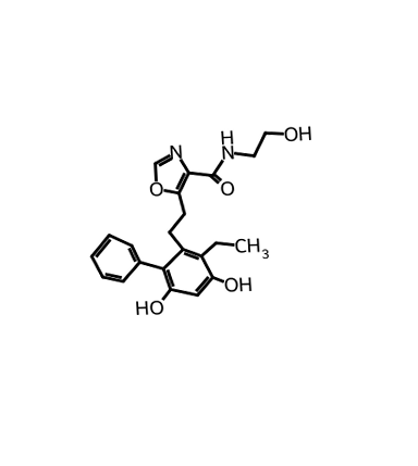 CCc1c(O)cc(O)c(-c2ccccc2)c1CCc1ocnc1C(=O)NCCO